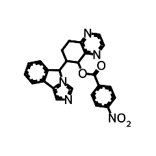 O=C(OC1c2nccnc2CCC1C1c2ccccc2-c2cncn21)c1ccc([N+](=O)[O-])cc1